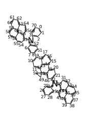 c1ccc(N(c2ccc(-c3ccc4c5c(cccc35)-c3ccc(N(c5ccccc5)c5ccc6ccc7cccc8ccc5c6c78)cc3C43CC3)cc2)c2ccc3ccc4cccc5ccc2c3c45)cc1